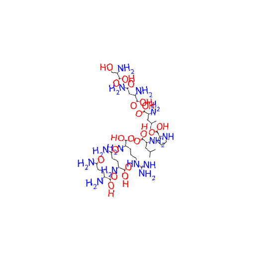 CC(C)CC(N)C(=O)O.CC(C)CC(N)C(=O)O.N=C(N)NCCCC(N)C(=O)O.NC(=O)CC(N)C(=O)O.NC(=O)CCC(N)C(=O)O.NC(=O)CCC(N)C(=O)O.NC(CO)C(=O)O.O=C(O)[C@@H]1CCCN1